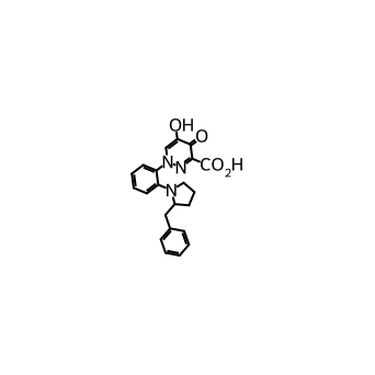 O=C(O)c1nn(-c2ccccc2N2CCCC2Cc2ccccc2)cc(O)c1=O